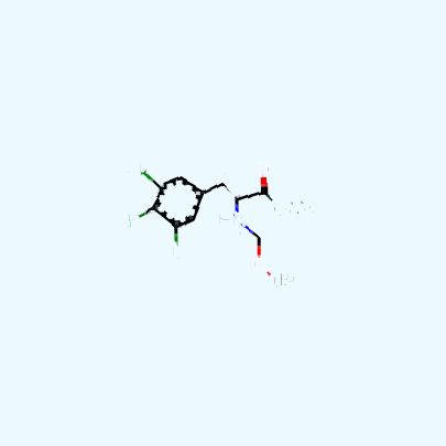 COC(=O)[C@H](Cc1cc(Cl)c(F)c(Cl)c1)NCOC(C)(C)C